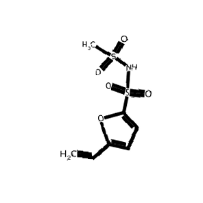 C=Cc1ccc(S(=O)(=O)NS(C)(=O)=O)o1